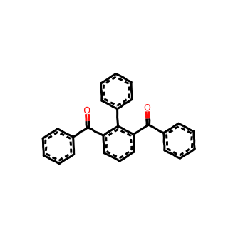 O=C(c1ccccc1)c1cccc(C(=O)c2ccccc2)c1-c1ccccc1